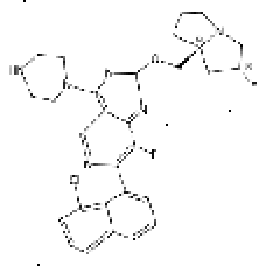 Fc1c(-c2cccc3cccc(Cl)c23)ncc2c(N3CCNCC3)nc(OC[C@@]34CCCN3C[C@H](F)C4)nc12